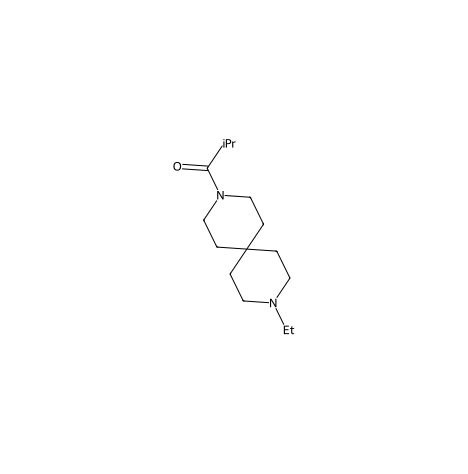 CCN1CCC2(CC1)CCN(C(=O)C(C)C)CC2